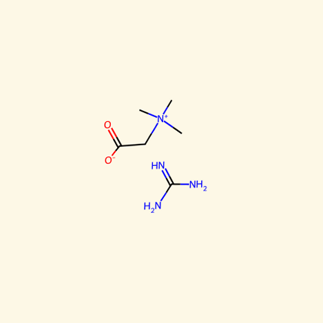 C[N+](C)(C)CC(=O)[O-].N=C(N)N